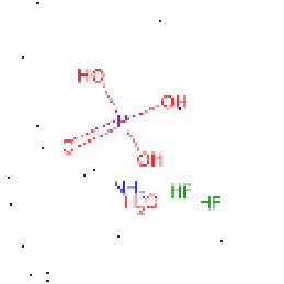 F.F.N.O.O=P(O)(O)O